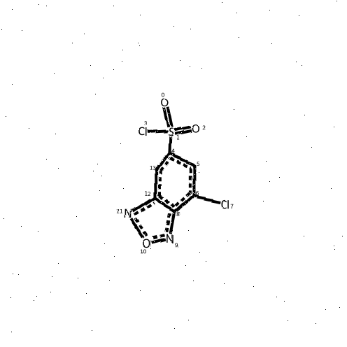 O=S(=O)(Cl)c1cc(Cl)c2nonc2c1